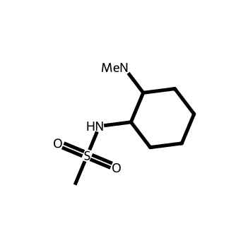 CNC1CCCCC1NS(C)(=O)=O